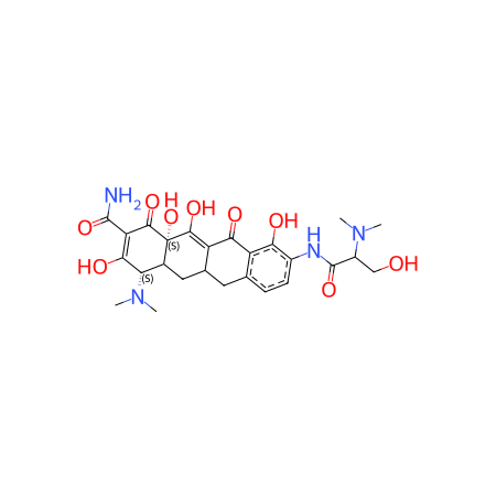 CN(C)C(CO)C(=O)Nc1ccc2c(c1O)C(=O)C1=C(O)[C@]3(O)C(=O)C(C(N)=O)=C(O)[C@@H](N(C)C)C3CC1C2